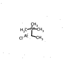 CC[N+](C)(C)C.[Al].[Cl-]